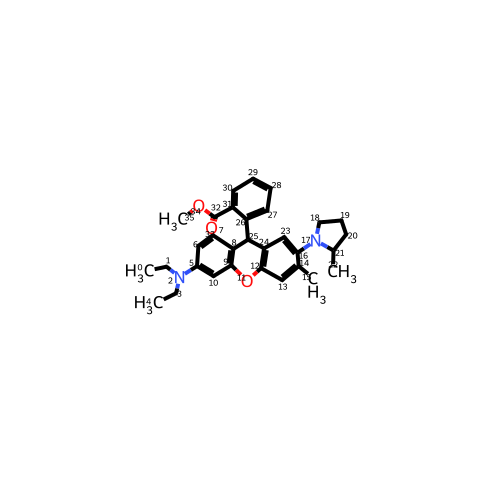 CCN(CC)c1ccc2c(c1)Oc1cc(C)c(N3CCCC3C)cc1C2c1ccccc1C(=O)OC